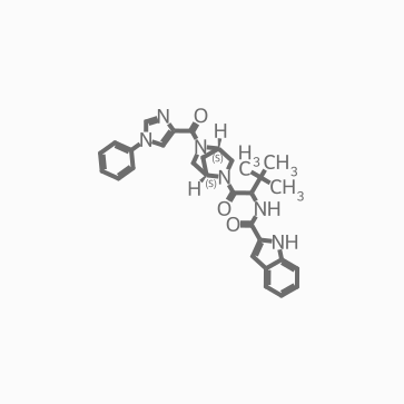 CC(C)(C)C(NC(=O)c1cc2ccccc2[nH]1)C(=O)N1C[C@@H]2C[C@H]1CN2C(=O)c1cn(-c2ccccc2)cn1